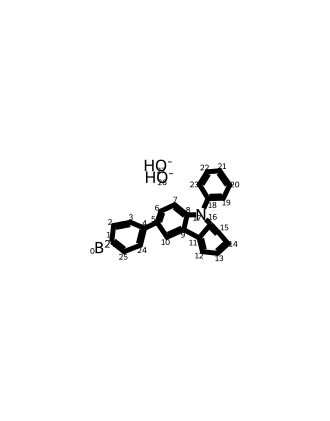 [B+2]c1ccc(-c2ccc3c(c2)c2ccccc2n3-c2ccccc2)cc1.[OH-].[OH-]